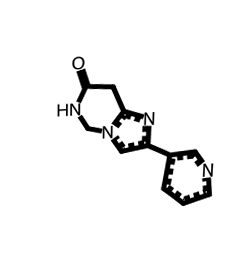 O=C1Cc2nc(-c3cccnc3)cn2CN1